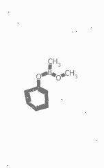 COB(C)Oc1ccccc1